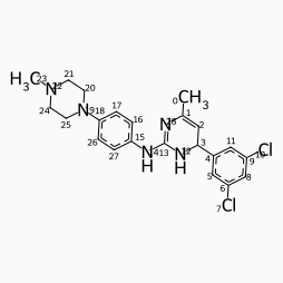 CC1=CC(c2cc(Cl)cc(Cl)c2)NC(Nc2ccc(N3CCN(C)CC3)cc2)=N1